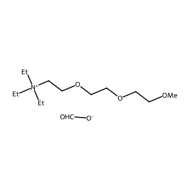 CC[N+](CC)(CC)CCOCCOCCOC.O=C[O-]